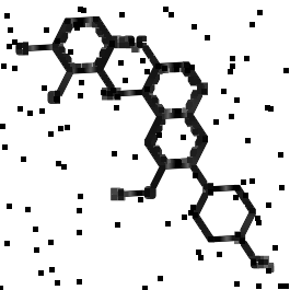 CCOC(=O)c1cnc2cc(N3CCN(C)CC3)c(OCC)cc2c1Nc1cccc(Cl)c1Cl